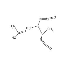 CC(N=C=O)C(C)N=C=O.NC(=O)O